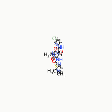 CC1c2sc(C(=O)NC(CNC(=O)C(=O)Nc3ccc(Cl)cn3)C(=O)N(C)C)nc2CCN1C